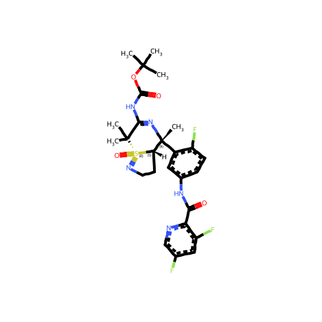 CC(C)(C)OC(=O)NC1=N[C@](C)(c2cc(NC(=O)c3ncc(F)cc3F)ccc2F)[C@@H]2CCN=[S@]2(=O)C1(C)C